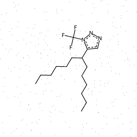 CCCCCCC(CCCCCC)c1cnnn1C(F)(F)F